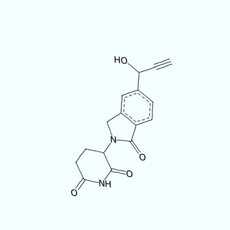 C#CC(O)c1ccc2c(c1)CN(C1CCC(=O)NC1=O)C2=O